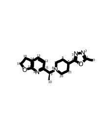 Cc1nnc(C2CCN([C@@H](C)c3ccc4c(n3)OCC4)CC2)o1